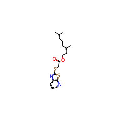 CC(C)=CCCC(C)=CCOC(=O)CSc1nc2cccnc2s1